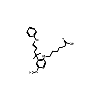 CC(C)(C/C=C/Nc1ccccc1)c1cc(SO)ccc1NCCCCCC(=O)O